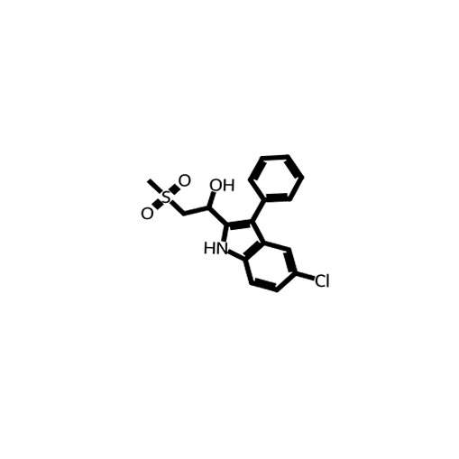 CS(=O)(=O)CC(O)c1[nH]c2ccc(Cl)cc2c1-c1ccccc1